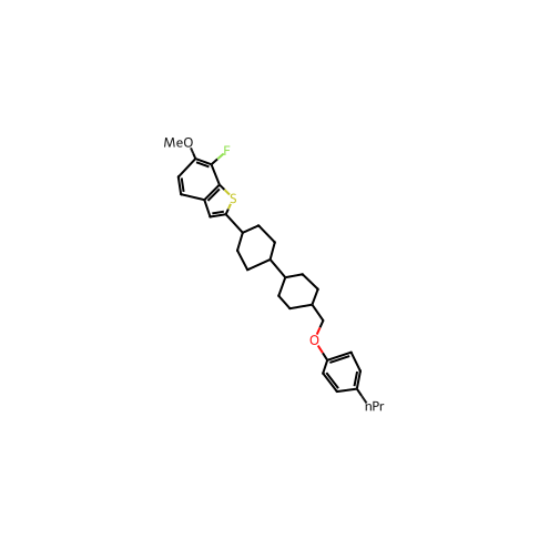 CCCc1ccc(OCC2CCC(C3CCC(c4cc5ccc(OC)c(F)c5s4)CC3)CC2)cc1